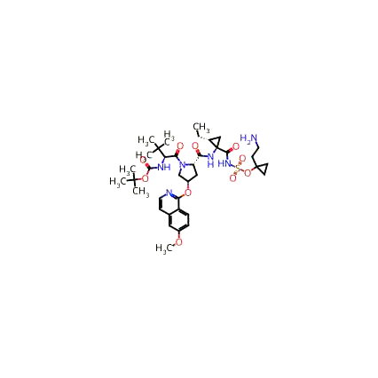 CC[C@@H]1C[C@]1(NC(=O)[C@@H]1C[C@@H](Oc2nccc3cc(OC)ccc23)CN1C(=O)[C@@H](NC(=O)OC(C)(C)C)C(C)(C)C)C(=O)NS(=O)(=O)OC1(CCN)CC1